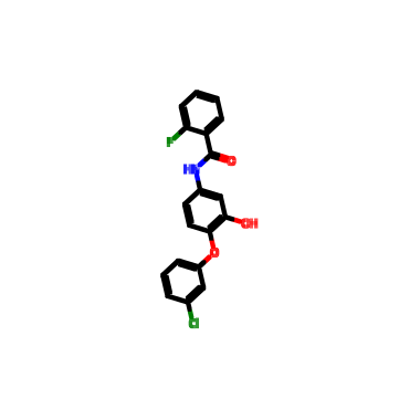 O=C(Nc1ccc(Oc2cccc(Cl)c2)c(O)c1)c1ccccc1F